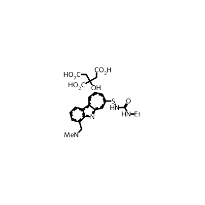 CCNC(=O)NSc1cccc2c3cccc(CNC)c3nc-2c1.O=C(O)CC(O)(CC(=O)O)C(=O)O